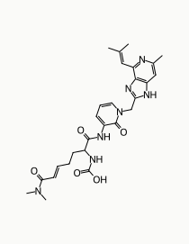 CC(C)=Cc1nc(C)cc2[nH]c(Cn3cccc(NC(=O)C(CCC=CC(=O)N(C)C)NC(=O)O)c3=O)nc12